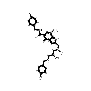 CN(Cc1cc2c(=O)c(C(=O)NCc3ccc(Cl)cc3)cn(C)c2o1)CC(O)CSCc1ccc(Cl)cc1